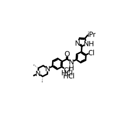 CC(C)c1cnc(-c2cc(NC(=O)c3ccc(N4C[C@@H](C)N(C)[C@@H](C)C4)cc3Cl)ccc2Cl)[nH]1.Cl.Cl